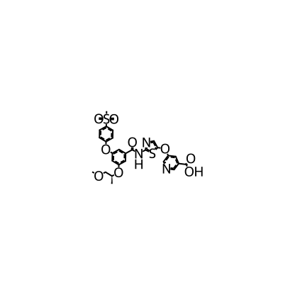 COC[C@H](C)Oc1cc(Oc2ccc(S(C)(=O)=O)cc2)cc(C(=O)Nc2ncc(Oc3cncc(C(=O)O)c3)s2)c1